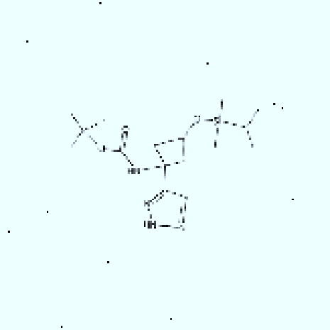 CC(C)[Si](C)(C)OC1CC(NC(=O)OC(C)(C)C)(c2cn[nH]n2)C1